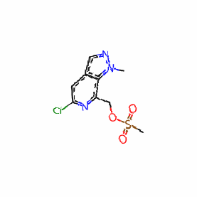 Cn1ncc2cc(Cl)nc(COS(C)(=O)=O)c21